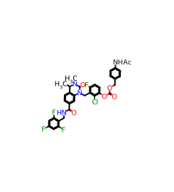 CC(=O)Nc1ccc(COC(=O)Oc2ccc(F)c(CN3C(=O)N(C)C(C)c4ccc(C(=O)NCc5c(F)cc(F)cc5F)cc43)c2Cl)cc1